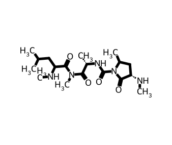 CNC(CC(C)C)C(=O)N(C)C(=O)[C@H](C)NC(=O)N1C(=O)[C@@H](NC)CC1C